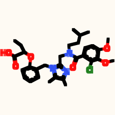 CCC(Oc1ccccc1Cn1c(CN(CCC(C)C)C(=O)c2ccc(OC)c(OC)c2Cl)nc(C)c1C)C(=O)O